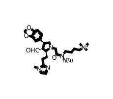 CCCCN(CCCC[N+](C)(C)C)C(=O)CN1C[C@H](c2ccc3c(c2)OCO3)[C@@H](C=O)[C@@H]1CCc1nccn1C